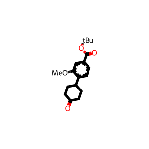 COc1cc(C(=O)OC(C)(C)C)ccc1C1CCC(=O)CC1